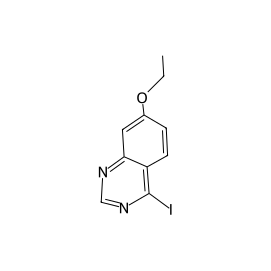 CCOc1ccc2c(I)ncnc2c1